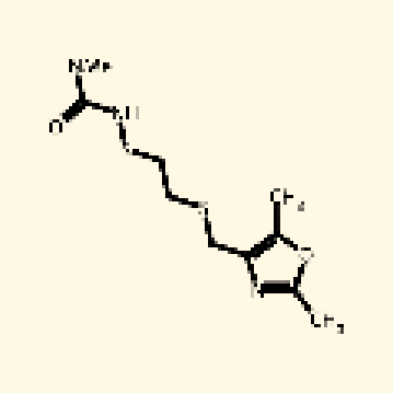 CNC(=O)NSCCSCc1nc(C)oc1C